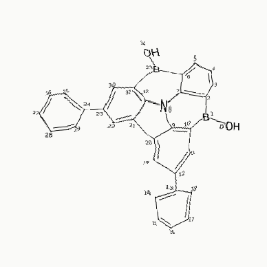 OB1c2cccc3c2-n2c4c1cc(-c1ccccc1)cc4c1cc(-c4ccccc4)cc(c12)B3O